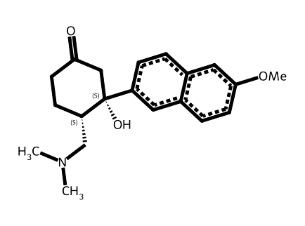 COc1ccc2cc([C@]3(O)CC(=O)CC[C@H]3CN(C)C)ccc2c1